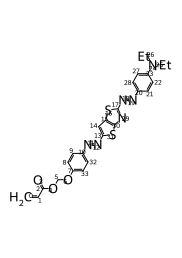 C=CC(=O)OCOc1ccc(N=Nc2cc3sc(N=Nc4ccc(N(CC)CC)cc4)nc3s2)cc1